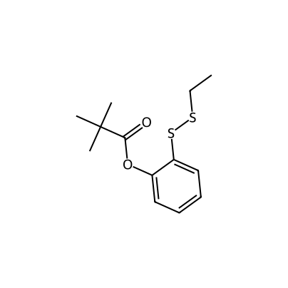 CCSSc1ccccc1OC(=O)C(C)(C)C